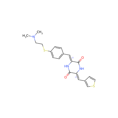 CN(C)CCSc1ccc(/C=c2\[nH]c(=O)/c(=C/c3ccsc3)[nH]c2=O)cc1